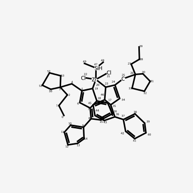 CCCC1(CC2=Cc3c(-c4ccccc4)cccc3[CH]2[Zr]([Cl])([Cl])([CH]2C(CC3(CCC)CCCC3)=Cc3c(-c4ccccc4)cccc32)[SiH](C)C)CCCC1